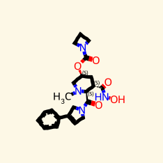 CN1C[C@@H](OC(=O)N2CCC2)C[C@H](C(=O)NO)[C@H]1C(=O)N1CC=C(c2ccccc2)C1